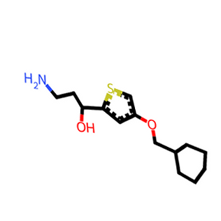 NCCC(O)c1cc(OCC2CCCCC2)cs1